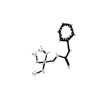 CO[Si](COC(=O)Cc1ccccc1)(OC)OC